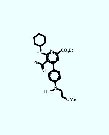 CCOC(=O)c1cc(-c2ccc(N(C)CCOC)cc2)c(C(=N)C(C)C)c(NC2CCCCC2)n1